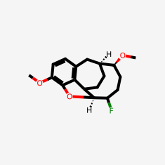 COc1ccc2c3c1O[C@@H]1C(F)CC[C@H](OC)[C@@H](CCC31)C2